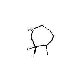 CC1CCCNCC1(F)F